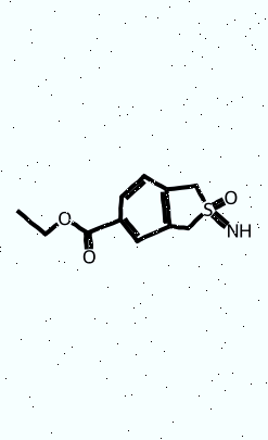 CCOC(=O)c1ccc2c(c1)CS(=N)(=O)C2